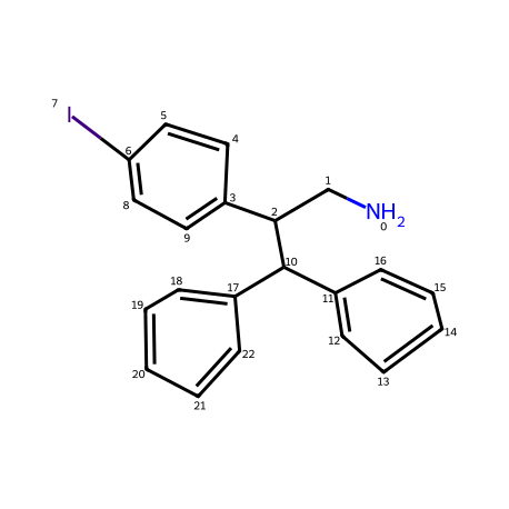 NCC(c1ccc(I)cc1)C(c1ccccc1)c1ccccc1